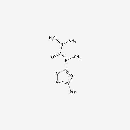 CCCc1cc(N(C)C(=O)N(C)C)on1